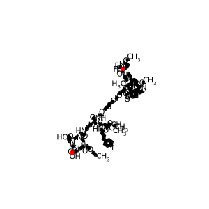 CCCCOC(=O)CN1CCN(CC(=O)O)CCN(CC(=O)O)CCN(CC(=O)NCCCC[C@@H](NC(=O)[C@@H](CCC(=O)OC(C)(C)C)NC(=O)CCCc2ccc(I)cc2)C(=O)NCCOCCOCCOCCOCCCN(Cc2nc(-c3cccnc3OCC)ccc2N2CCN(C(=O)c3ccc(OCC)nc3C(F)(F)F)C[C@H]2CC)S(=O)(=O)c2ccccc2[N+](=O)[O-])CC1